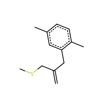 C=C(CSC)Cc1cc(C)ccc1C